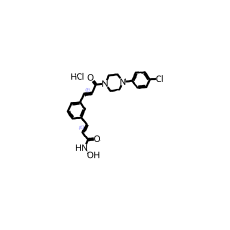 Cl.O=C(/C=C/c1cccc(/C=C/C(=O)N2CCN(c3ccc(Cl)cc3)CC2)c1)NO